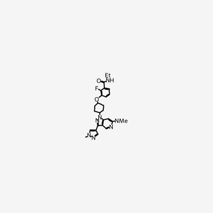 CCNC(=O)c1cccc(OC2CCC(n3nc(-c4cnn(C)c4)c4cnc(NC)cc43)CC2)c1F